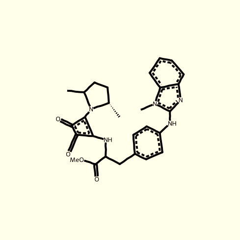 COC(=O)C(Cc1ccc(Nc2nc3ccccc3n2C)cc1)Nc1c(N2C(C)CC[C@@H]2C)c(=O)c1=O